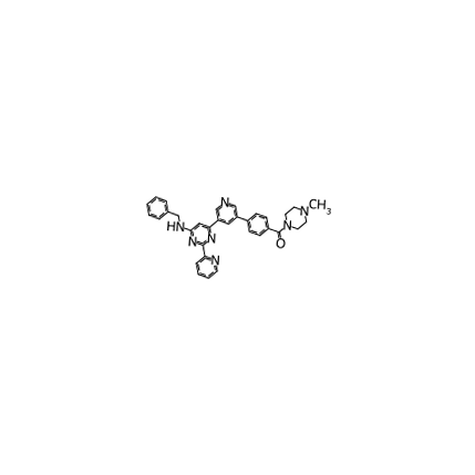 CN1CCN(C(=O)c2ccc(-c3cncc(-c4cc(NCc5ccccc5)nc(-c5ccccn5)n4)c3)cc2)CC1